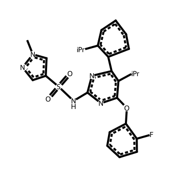 CC(C)c1ccccc1-c1nc(NS(=O)(=O)c2cnn(C)c2)nc(Oc2ccccc2F)c1C(C)C